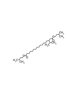 CC(C)CCOC(=O)CCCCCCCCCCCCCC(CC(=O)OCCC(C)C)C(C)C